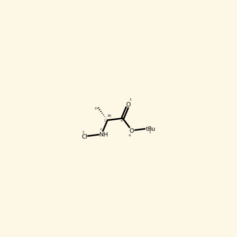 C[C@@H](NCl)C(=O)OC(C)(C)C